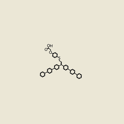 O=C(O)COc1ccc(SCC=C(c2ccc(-c3ccc(-c4ccccc4)cc3)cc2)c2ccc(-c3ccc(-c4ccccc4)cc3)cc2)cc1